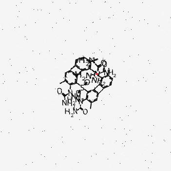 Cc1ccc2c(c1N(N)C(N)=O)-c1c-2cc(C)c(N(N)C(N)=O)c1S(=O)(=O)c1c2c(cc(C)c1N(N)C(N)=O)-c1ccc(C)c(N(N)C(N)=O)c1-2